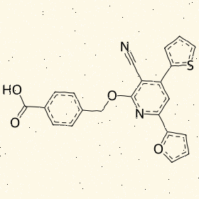 N#Cc1c(-c2cccs2)cc(-c2ccco2)nc1OCc1ccc(C(=O)O)cc1